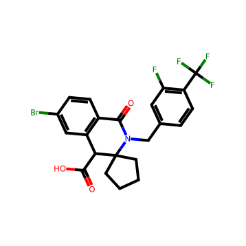 O=C(O)C1c2cc(Br)ccc2C(=O)N(Cc2ccc(C(F)(F)F)c(F)c2)C12CCCC2